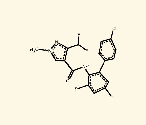 Cn1cc(C(=O)Nc2c(F)cc(F)cc2-c2ccc(Cl)cc2)c(C(F)F)n1